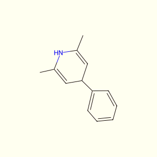 CC1=CC(c2ccccc2)C=C(C)N1